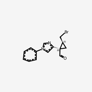 O=C[C@]1(c2cn(-c3ccccc3)cn2)C[C@@H]1CBr